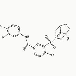 O=C(Nc1ccc(F)c(F)c1)c1ccc(Cl)c(S(=O)(=O)[C@@H]2CC3CC[C@@H](C2)C3=O)c1